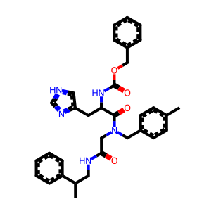 Cc1ccc(CN(CC(=O)NCC(C)c2ccccc2)C(=O)C(Cc2c[nH]cn2)NC(=O)OCc2ccccc2)cc1